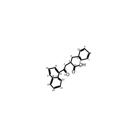 O=C(CC(Cc1ccccc1)C(=O)O)c1cccc2ccccc12